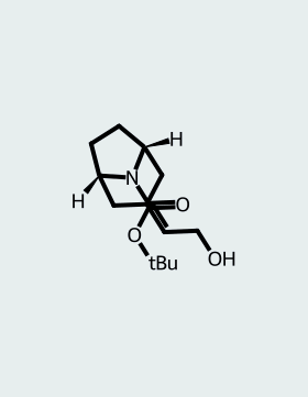 CC(C)(C)OC(=O)N1[C@@H]2CC[C@H]1C/C(=C/CO)C2